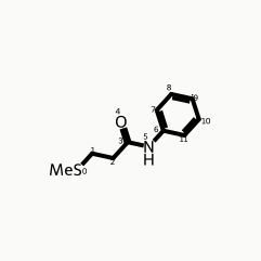 CSCCC(=O)Nc1cc[c]cc1